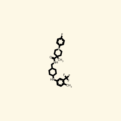 Cc1ccc(NC2CCC(CNC(=O)C3(C)CCN(c4ccc(F)cc4)CC3)CC2)cc1C(F)(F)F